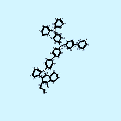 C=C/C=C\c1c(C)c2ccccc2c2c1c1ccccc1n2-c1ccc(-c2ccc(N(c3ccc(-c4ccccc4)cc3)c3ccc(N(c4ccccc4)c4ccccc4)cc3)cc2)cc1